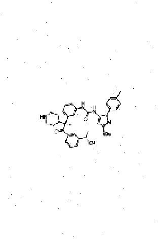 Cc1ccc(-n2nc(C(C)(C)C)cc2NC(=O)Nc2cccc(C(C)(C(=O)c3cccc([C@H](C)C#N)c3)C3CCNCC3)c2)cc1